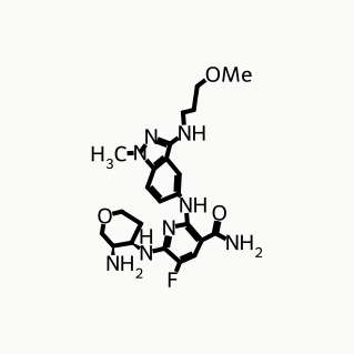 COCCCNc1nn(C)c2ccc(Nc3nc(N[C@@H]4CCOC[C@@H]4N)c(F)cc3C(N)=O)cc12